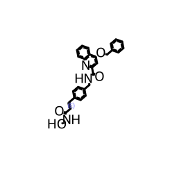 O=C(/C=C/c1ccc(CNC(=O)c2cc(OCc3ccccc3)c3ccccc3n2)cc1)NO